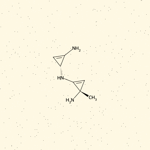 C[C@]1(N)C=C1N[C@@H]1C=C1N